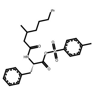 Cc1ccc(S(=O)(=O)OC(=O)[C@H](Cc2ccccc2)NC(=O)CC(C)CCCC(C)C)cc1